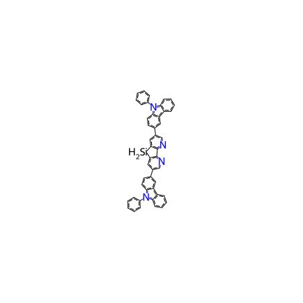 c1ccc(-n2c3ccccc3c3cc(-c4cnc5c(c4)[SiH2]c4cc(-c6ccc7c(c6)c6ccccc6n7-c6ccccc6)cnc4-5)ccc32)cc1